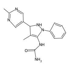 CC1=C(NC(N)=O)N(c2ccccc2)NC1c1cnc(C)nc1